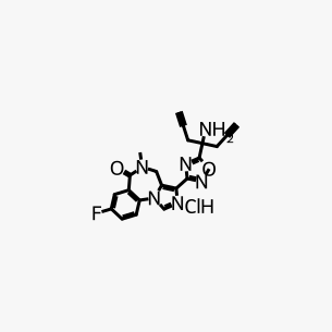 C#CCC(N)(CC#C)c1nc(-c2ncn3c2CN(C)C(=O)c2cc(F)ccc2-3)no1.Cl